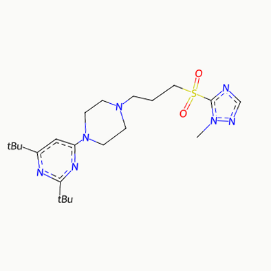 Cn1ncnc1S(=O)(=O)CCCN1CCN(c2cc(C(C)(C)C)nc(C(C)(C)C)n2)CC1